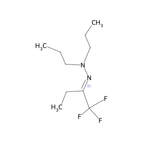 CCCN(CCC)/N=C(\CC)C(F)(F)F